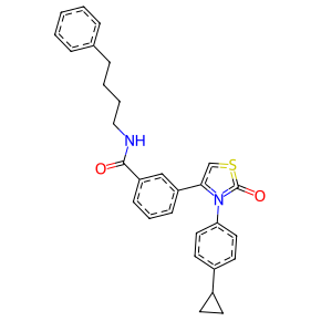 O=C(NCCCCc1ccccc1)c1cccc(-c2csc(=O)n2-c2ccc(C3CC3)cc2)c1